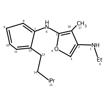 CCNc1coc(Nc2ccccc2CCC(C)C)c1C